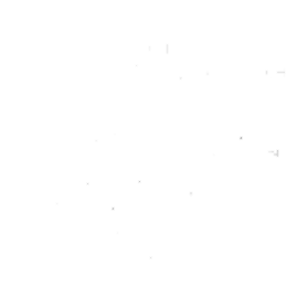 COC(=O)c1ccccc1C(=O)c1cc(Br)c(C)cc1OC